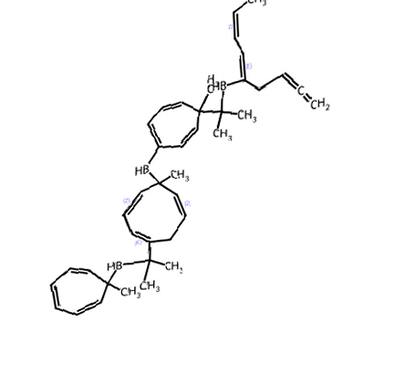 C=C=CC/C(BC(C)(C)C1(C)C=CC=C(BC2(C)/C=C\C=C(\C(C)(C)BC3(C)C=CC=CC=C3)C/C=C\2)C=C1)=C/C=C\C